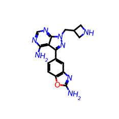 Nc1nc2cc(-c3nn(CC4CNC4)c4ncnc(N)c34)ccc2o1